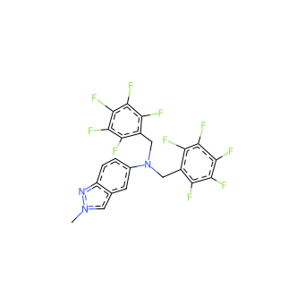 Cn1cc2cc(N(Cc3c(F)c(F)c(F)c(F)c3F)Cc3c(F)c(F)c(F)c(F)c3F)ccc2n1